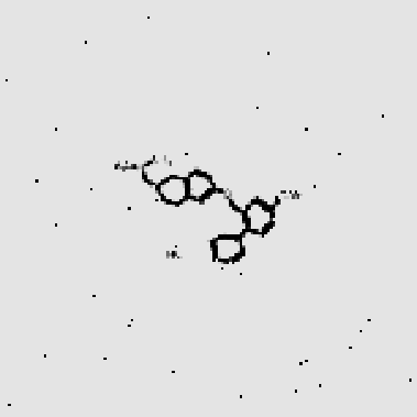 COc1ccc(-c2ccccc2)c(COc2ccc3c(c2)CCC(CN(C)C)C3)c1.Cl